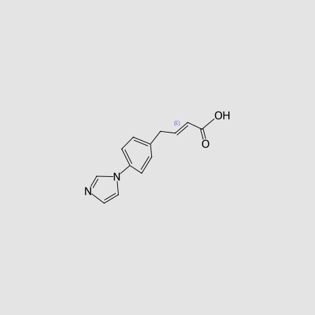 O=C(O)/C=C/Cc1ccc(-n2ccnc2)cc1